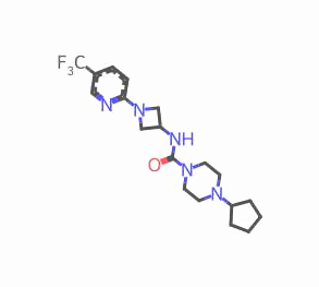 O=C(NC1CN(c2ccc(C(F)(F)F)cn2)C1)N1CCN(C2CCCC2)CC1